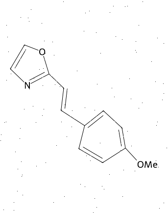 COc1ccc(/C=C/c2ncco2)cc1